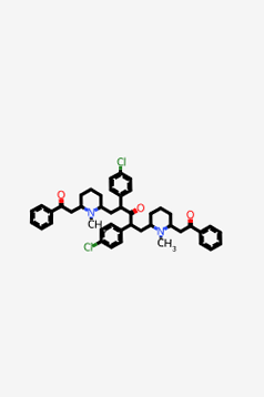 CN1C(CC(=O)c2ccccc2)CCCC1CC(C(=O)C(CC1CCCC(CC(=O)c2ccccc2)N1C)c1ccc(Cl)cc1)c1ccc(Cl)cc1